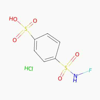 Cl.O=S(=O)(O)c1ccc(S(=O)(=O)NF)cc1